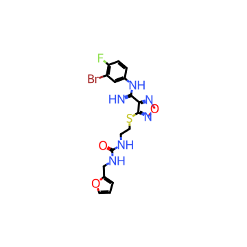 N=C(Nc1ccc(F)c(Br)c1)c1nonc1SCCNC(=O)NCc1ccco1